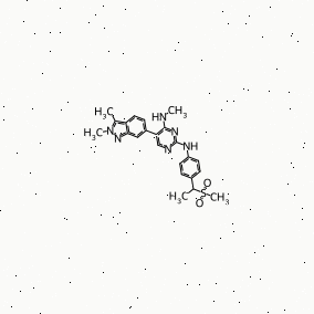 CNc1nc(Nc2ccc(C(C)S(C)(=O)=O)cc2)ncc1-c1ccc2c(C)n(C)nc2c1